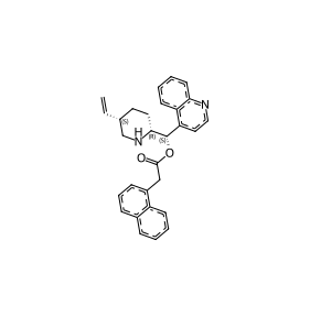 C=C[C@@H]1CC[C@H]([C@@H](OC(=O)Cc2cccc3ccccc23)c2ccnc3ccccc23)NC1